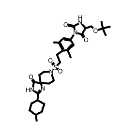 Cc1cc(N2C(=O)NC(COC(C)(C)C)C2=O)cc(C)c1CCS(=O)(=O)N1CCC2(CC1)N=C(C1CCC(C)CC1)NC2=O